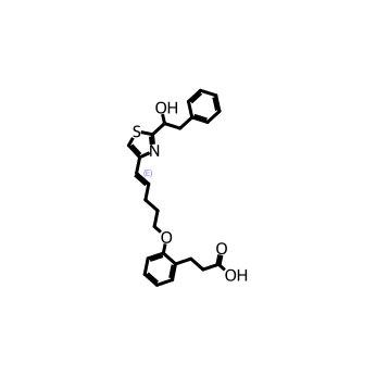 O=C(O)CCc1ccccc1OCCC/C=C/c1csc(C(O)Cc2ccccc2)n1